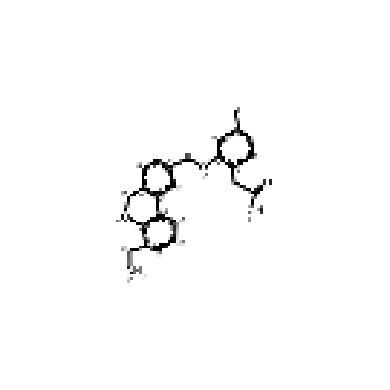 Cc1ccc(CC(=O)O)c(OCc2ccc3c(c2)-c2cccc(CN)c2OC3)c1